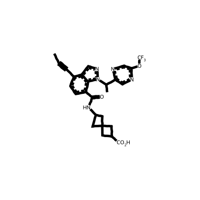 CC#Cc1ccc(C(=O)NC2CC3(C2)CC(C(=O)O)C3)c2c1cnn2C(C)c1cnc(OC(F)(F)F)cn1